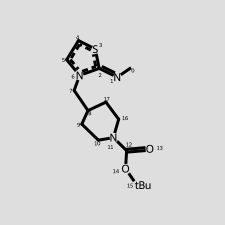 C/N=c1\sccn1CC1CCN(C(=O)OC(C)(C)C)CC1